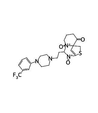 O=C1CCC[N+]2([O-])C(CCN3CCN(c4cccc(C(F)(F)F)c4)CC3)[N+](=O)C3=CC12CS3